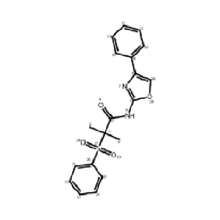 CC(C)(C(=O)Nc1nc(-c2ccccc2)co1)S(=O)(=O)c1ccccc1